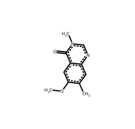 COc1cc2c(=O)n(C)cnc2cc1C